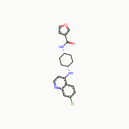 O=C(N[C@H]1CC[C@@H](Nc2ccnc3cc(Cl)ccc23)CC1)c1ccoc1